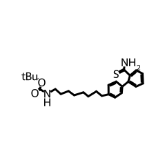 CC(C)(C)OC(=O)NCCCCCCCCc1ccc(-c2ccccc2C(N)=S)cc1